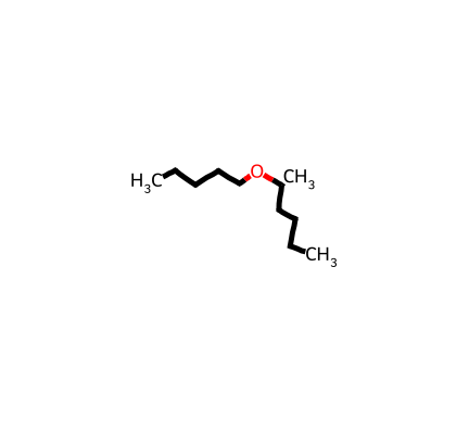 CCCCCOC(C)CCCC